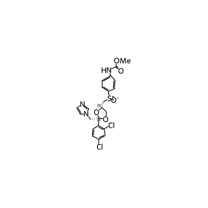 COC(=O)Nc1ccc([S+]([O-])C[C@@H]2CO[C@@](Cn3ccnc3)(c3ccc(Cl)cc3Cl)O2)cc1